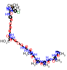 Cc1sc2c(c1C)C(c1ccc(Cl)cc1)=N[C@@H](CC(=O)Nc1ccc(OCCOCCOCCOCCNC(=O)C(CCC(=O)O)NC(=O)CCOCCOCCOCCNC(=O)CCNC(=O)c3nc(NC(=O)CCNC(=O)c4cc(NC(=O)c5cc(NC(=O)CCNC(=O)c6cc(NC(=O)c7nccn7C)cn6C)cn5C)cn4C)cn3C)cc1)c1nnc(C)n1-2